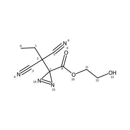 CCC(C#N)(C#N)C1(C(=O)OCCO)N=N1